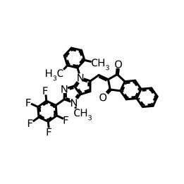 Cc1cccc(C)c1-n1c(C=C2C(=O)c3cc4ccccc4cc3C2=O)cc2c1nc(-c1c(F)c(F)c(F)c(F)c1F)n2C